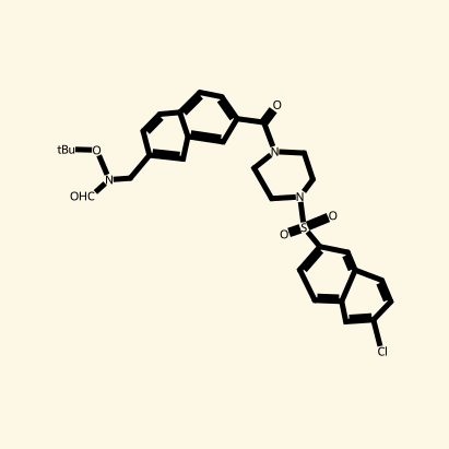 CC(C)(C)ON(C=O)Cc1ccc2ccc(C(=O)N3CCN(S(=O)(=O)c4ccc5cc(Cl)ccc5c4)CC3)cc2c1